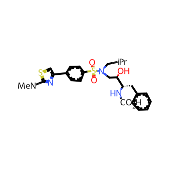 CNc1nc(-c2ccc(S(=O)(=O)N(CC(C)C)C[C@@H](O)[C@H](Cc3ccccc3)NC(=O)O)cc2)cs1